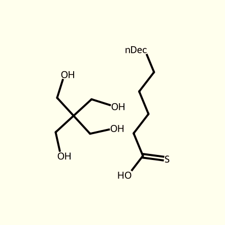 CCCCCCCCCCCCCCC(O)=S.OCC(CO)(CO)CO